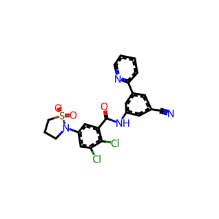 N#Cc1cc(NC(=O)c2cc(N3CCCS3(=O)=O)cc(Cl)c2Cl)cc(-c2ccccn2)c1